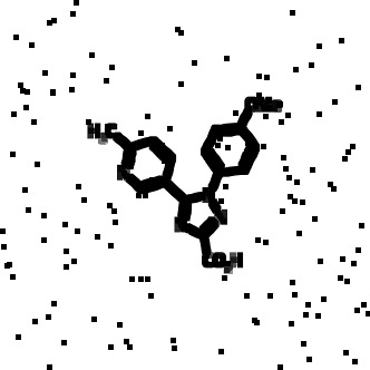 COc1ccc(-n2nc(C(=O)O)nc2-c2ccc(C)nc2)cc1